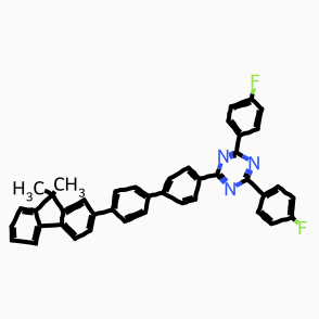 CC1(C)c2ccccc2-c2ccc(-c3ccc(-c4ccc(-c5nc(-c6ccc(F)cc6)nc(-c6ccc(F)cc6)n5)cc4)cc3)cc21